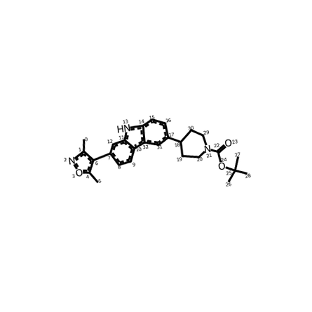 Cc1noc(C)c1-c1ccc2c(c1)[nH]c1ccc(C3CCN(C(=O)OC(C)(C)C)CC3)cc12